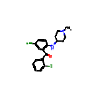 CN1CCC(Nc2ccc(Cl)cc2C(=O)c2ccccc2Cl)CC1